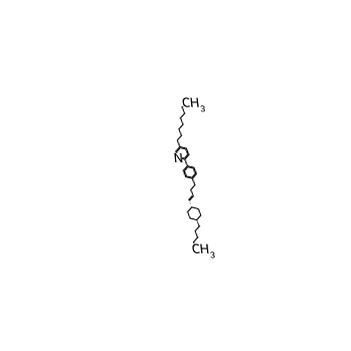 CCCCCCCCc1ccc(-c2ccc(CCC=C[C@H]3CC[C@H](CCCCC)CC3)cc2)nc1